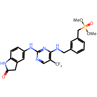 COP(=O)(Cc1cccc(CNc2nc(Nc3ccc4c(c3)CC(=O)N4)ncc2C(F)(F)F)c1)OC